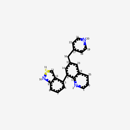 c1cnc2c(-c3cccc4nscc34)cc(Cc3ccncc3)cc2c1